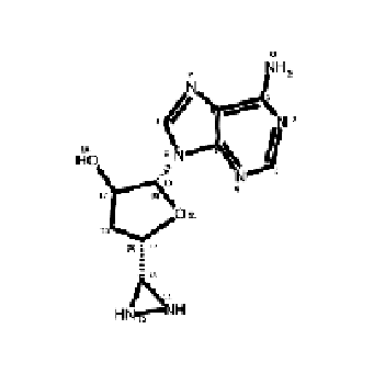 Nc1ncnc2c1ncn2[C@@H]1O[C@H](C2NN2)CC1O